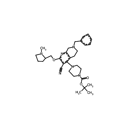 CN1CCCC1COc1nc2c(c(N3CCN(C(=O)OC(C)(C)C)CC3)c1C#N)CCN(Cc1ccccc1)C2